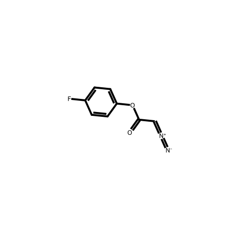 [N-]=[N+]=CC(=O)Oc1ccc(F)cc1